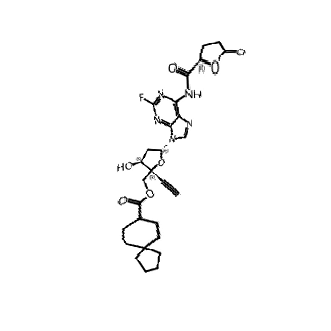 C#C[C@]1(COC(=O)C2CCC3(CCCC3)CC2)O[C@@H](n2cnc3c(NC(=O)[C@H]4CCC(=O)O4)nc(F)nc32)C[C@@H]1O